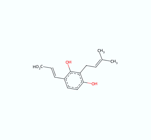 CC(C)=CCc1c(O)ccc(C=CC(=O)O)c1O